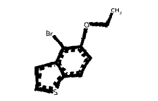 CCOc1ccc2sccc2c1Br